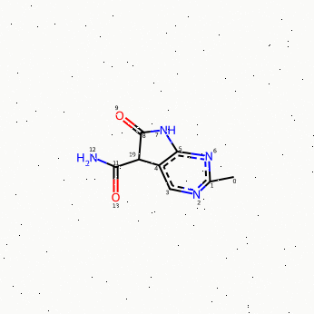 Cc1ncc2c(n1)NC(=O)C2C(N)=O